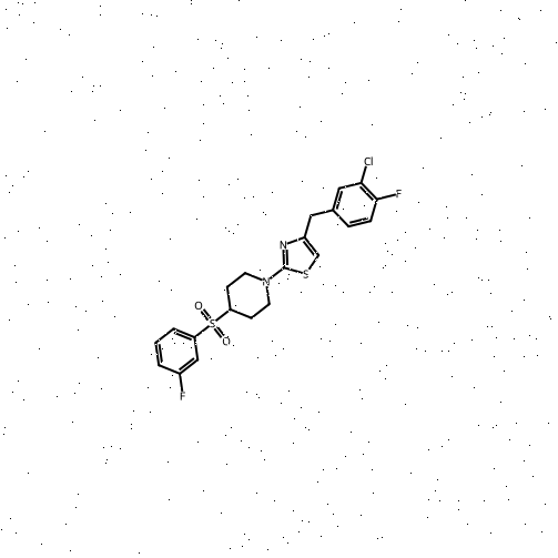 O=S(=O)(c1cccc(F)c1)C1CCN(c2nc(Cc3ccc(F)c(Cl)c3)cs2)CC1